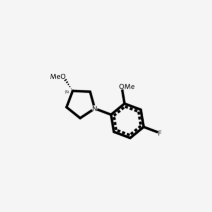 COc1cc(F)ccc1N1CC[C@H](OC)C1